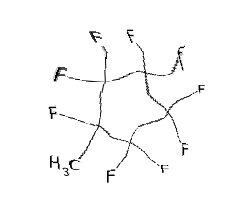 CC1(F)C(F)(F)C(F)(F)C(F)(F)C1(F)F